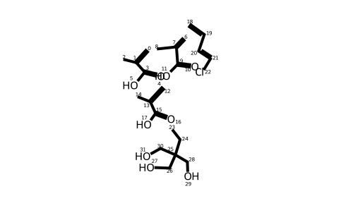 C=C(C)C(=O)O.C=C(C)C(=O)O.C=C(C)C(=O)O.C=CC=CCl.CCC(CO)(CO)CO